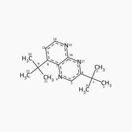 CC(C)(C)c1cnc2c(C(C)(C)C)ccnc2n1